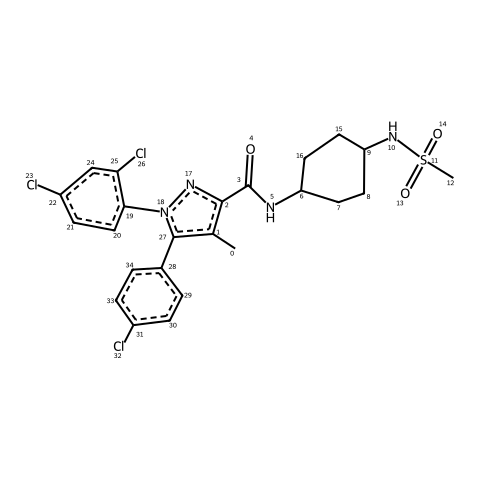 Cc1c(C(=O)NC2CCC(NS(C)(=O)=O)CC2)nn(-c2ccc(Cl)cc2Cl)c1-c1ccc(Cl)cc1